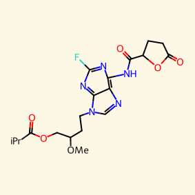 COC(CCn1cnc2c(NC(=O)C3CCC(=O)O3)nc(F)nc21)COC(=O)C(C)C